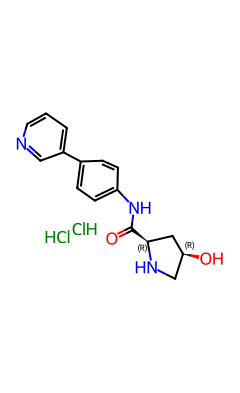 Cl.Cl.O=C(Nc1ccc(-c2cccnc2)cc1)[C@H]1C[C@@H](O)CN1